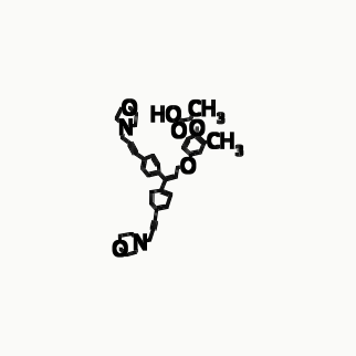 Cc1cc(OCC=C(c2ccc(C#CCN3CCOCC3)cc2)c2ccc(C#CCN3CCOCC3)cc2)ccc1OC(C)C(=O)O